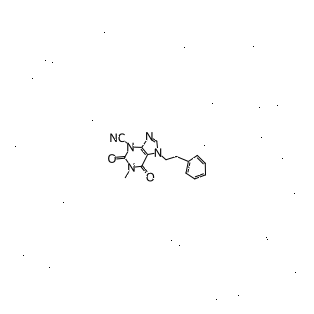 Cn1c(=O)c2c(ncn2CCc2ccccc2)n(C#N)c1=O